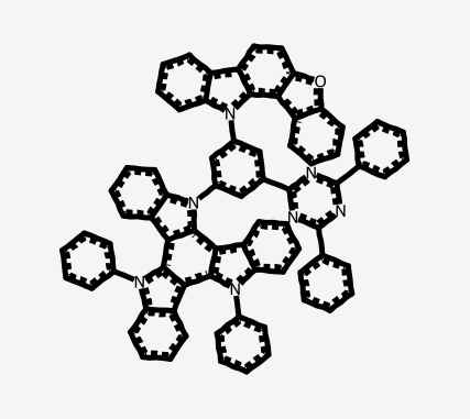 c1ccc(-c2nc(-c3ccccc3)nc(-c3cc(-n4c5ccccc5c5ccc6oc7ccccc7c6c54)cc(-n4c5ccccc5c5c6c(c7ccccc7n6-c6ccccc6)c6c(c7ccccc7n6-c6ccccc6)c54)c3)n2)cc1